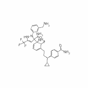 NCc1cccc(N2NC(C(F)(F)F)=CC2(C(N)=O)C2(N)C=CC=C(CCC(c3ccc(C(N)=O)cc3)C3CC3)C2F)c1